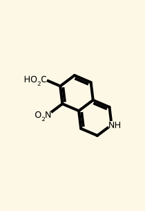 O=C(O)c1ccc2c(c1[N+](=O)[O-])=CCNC=2